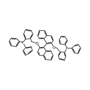 c1ccc(P(c2ccccc2)c2ccccc2COc2ccc3ccccc3c2-c2c(OCc3ccccc3P(c3ccccc3)c3ccccc3)ccc3ccccc23)cc1